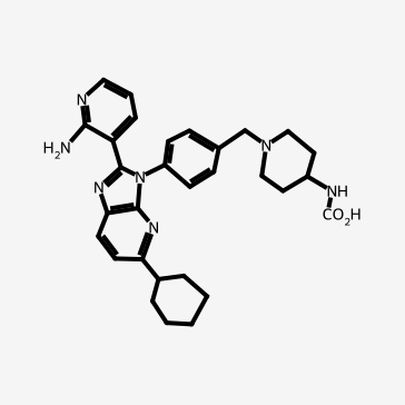 Nc1ncccc1-c1nc2ccc(C3CCCCC3)nc2n1-c1ccc(CN2CCC(NC(=O)O)CC2)cc1